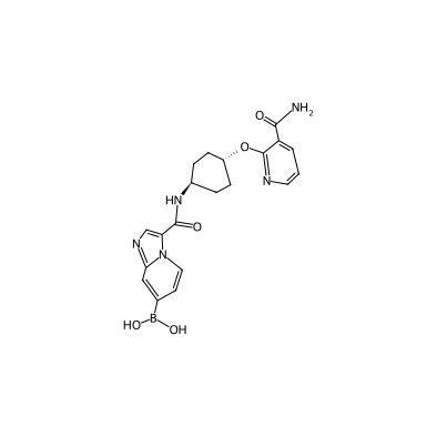 NC(=O)c1cccnc1O[C@H]1CC[C@H](NC(=O)c2cnc3cc(B(O)O)ccn23)CC1